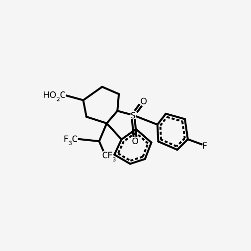 O=C(O)C1CCC(S(=O)(=O)c2ccc(F)cc2)C(c2ccccc2)(C(C(F)(F)F)C(F)(F)F)C1